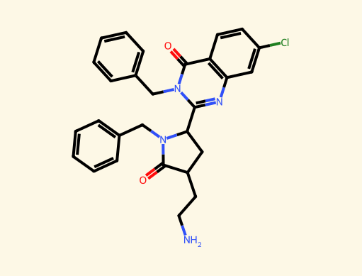 NCCC1CC(c2nc3cc(Cl)ccc3c(=O)n2Cc2ccccc2)N(Cc2ccccc2)C1=O